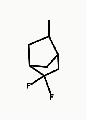 CC1CC2CC1CC2(F)F